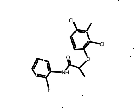 Cc1c(Cl)ccc(OC(C)C(=O)Nc2ccccc2F)c1Cl